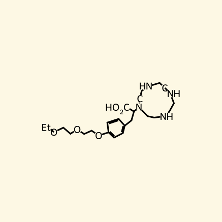 CCOCCOCCOc1ccc(CC(C(=O)O)N2CCNCCNCCNCC2)cc1